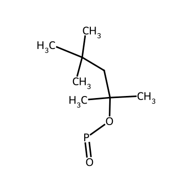 CC(C)(C)CC(C)(C)OP=O